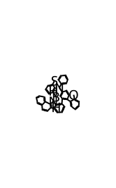 B1c2cccc3c2N(c2ccccc2S3)c2cc3oc4ccccc4c3c(-c3cccc4c3[nH]c3c5ccccc5ccc43)c21